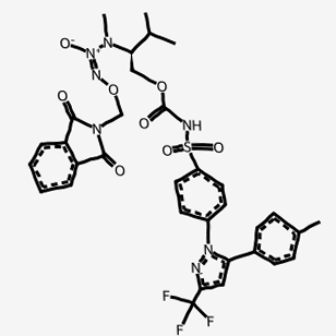 Cc1ccc(-c2cc(C(F)(F)F)nn2-c2ccc(S(=O)(=O)NC(=O)OC[C@H](C(C)C)N(C)/[N+]([O-])=N\OCN3C(=O)c4ccccc4C3=O)cc2)cc1